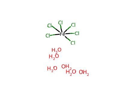 O.O.O.O.O.O.[Cl][Fe]([Cl])([Cl])([Cl])([Cl])[Cl]